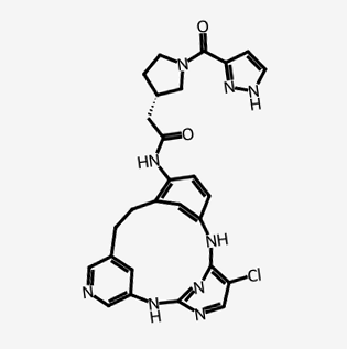 O=C(C[C@@H]1CCN(C(=O)c2cc[nH]n2)C1)Nc1ccc2cc1CCc1cncc(c1)Nc1ncc(Cl)c(n1)N2